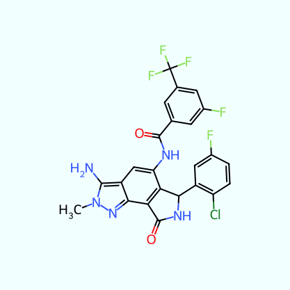 Cn1nc2c3c(c(NC(=O)c4cc(F)cc(C(F)(F)F)c4)cc2c1N)C(c1cc(F)ccc1Cl)NC3=O